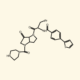 CC(C)CC(NC(=O)c1ccc(-c2cccs2)cc1)C(=O)N1CCC2C1C(=O)CN2C(=O)N1CCNCC1